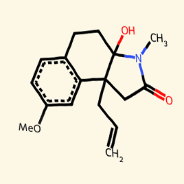 C=CCC12CC(=O)N(C)C1(O)CCc1ccc(OC)cc12